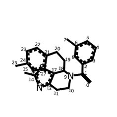 C=C(c1cccc(C)c1)N1CCc2nc(C)sc2C1CCc1ccc(C)cc1